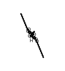 C=CCN1C(=O)C2=C(c3ccc(OCOCCCCCCCCCCCCCCCCCC)cc3)NC(=O)C2=C1c1ccc(OC(=O)CCCCCCCCCCCCCCCCCC)cc1